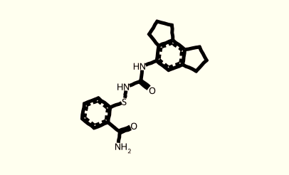 NC(=O)c1ccccc1SNC(=O)Nc1cc2c(c3c1CCC3)CCC2